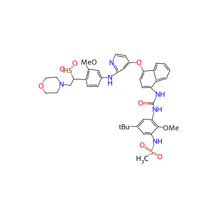 COc1cc(Nc2cc(Oc3ccc(NC(=O)Nc4cc(C(C)(C)C)cc(NS(C)(=O)=O)c4OC)c4ccccc34)ccn2)ccc1C(CN1CCOCC1)[SH](=O)=O